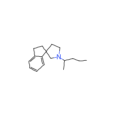 CCCC(C)N1CCC2(CCc3ccccc32)C1